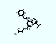 COC(=O)CCNc1cc(NCc2ccccc2)c2nnc(C(C)C)n2n1